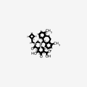 Cc1cccc2c1CCc1c(C)cccc1C2N1CN(CC2CCC2)C(=O)c2c(O)c(=O)c(C(=O)O)cn21